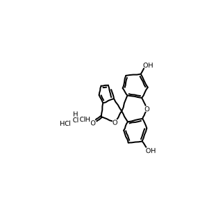 Cl.Cl.Cl.O=C1OC2(c3ccc(O)cc3Oc3cc(O)ccc32)c2ccccc21